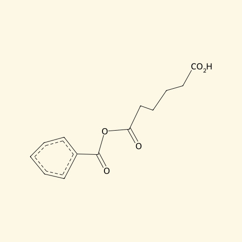 O=C(O)CCCCC(=O)OC(=O)c1ccccc1